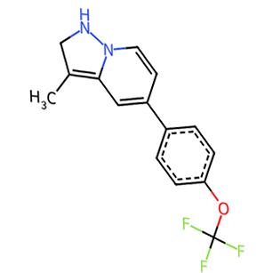 CC1=C2C=C(c3ccc(OC(F)(F)F)cc3)C=CN2NC1